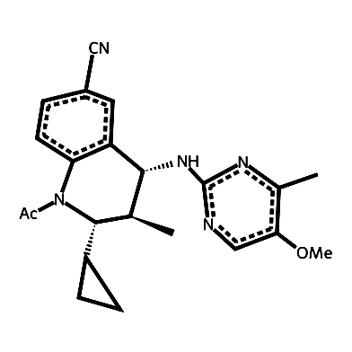 COc1cnc(N[C@H]2c3cc(C#N)ccc3N(C(C)=O)[C@@H](C3CC3)[C@@H]2C)nc1C